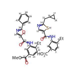 CCc1ccc(C(=O)O)cc1NC(=O)c1cnc(CC2CC2)s1.CCc1ccc(C(=O)OC)cc1NC(=O)c1cnc(-c2ccccc2)o1